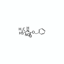 CC(S)(NC(=O)OCc1ccccc1)[N+](=O)[O-]